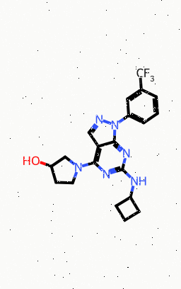 OC1CCN(c2nc(NC3CCC3)nc3c2cnn3-c2cccc(C(F)(F)F)c2)C1